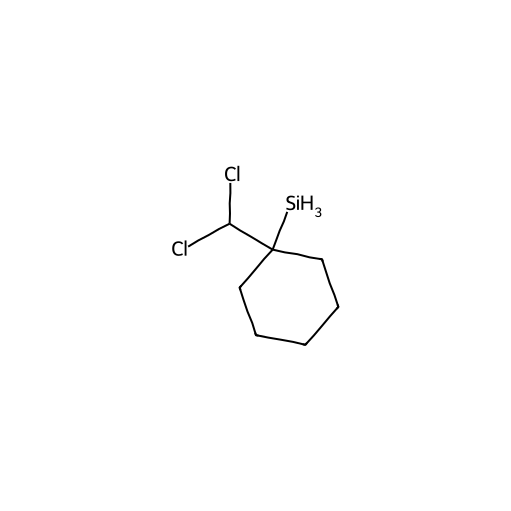 [SiH3]C1(C(Cl)Cl)CCCCC1